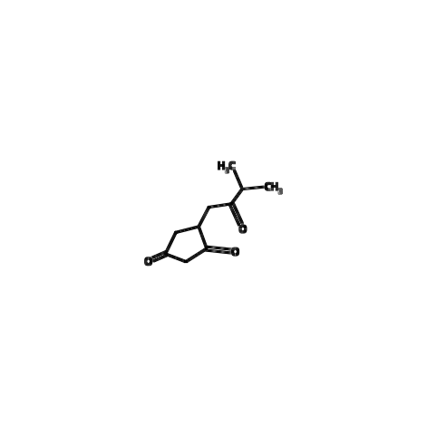 CC(C)C(=O)CC1CC(=O)CC1=O